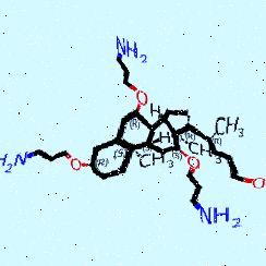 C[C@H](CCCO)[C@H]1CC[C@H]2C3[C@H](OCCCN)CC4C[C@H](OCCCN)CC[C@]4(C)[C@H]3C[C@H](OCCCN)[C@]12C